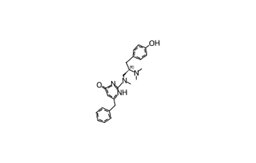 CN(C[C@@H](Cc1ccc(O)cc1)N(C)C)c1nc(=O)cc(Cc2ccccc2)[nH]1